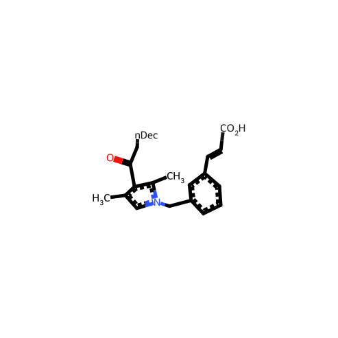 CCCCCCCCCCCC(=O)c1c(C)cn(Cc2cccc(C=CC(=O)O)c2)c1C